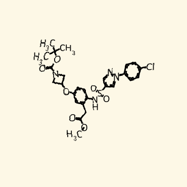 COC(=O)Cc1cc(OC2CN(C(=O)OC(C)(C)C)C2)ccc1NS(=O)(=O)c1cnn(-c2ccc(Cl)cc2)c1